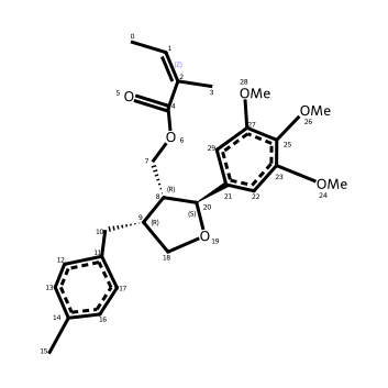 C/C=C(/C)C(=O)OC[C@H]1[C@@H](Cc2ccc(C)cc2)CO[C@@H]1c1cc(OC)c(OC)c(OC)c1